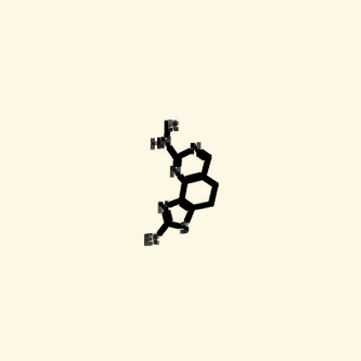 CCNc1ncc2c(n1)-c1nc(CC)sc1CC2